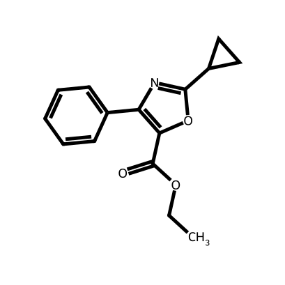 CCOC(=O)c1oc(C2CC2)nc1-c1ccccc1